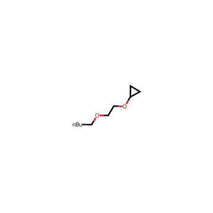 CCCCCOCCOC1CC1